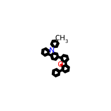 Cc1ccc(-n2c3ccccc3c3ccc(-c4cccc5c4oc4c(-c6ccccc6)cccc45)cc32)cc1